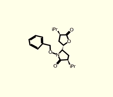 CC(C)[C@@H]1C[C@@H](C2C[C@@H](C(C)C)C(=O)N2OCc2ccccc2)OC1=O